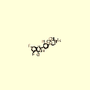 CC(=O)N1CCN(c2ccc(-c3nc4cc(F)cc(F)c4c(=O)[nH]3)cc2)C(C)(C)C1